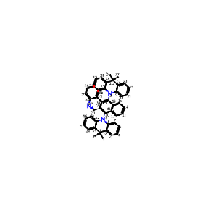 CC1(C)c2ccccc2N(c2c3ccccc3c(N3c4ccccc4C(C)(C)c4ccccc43)c3c2cnc2ccccc23)c2ccccc21